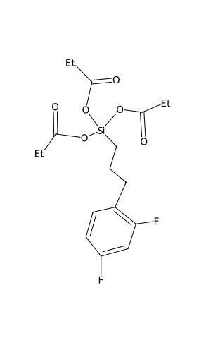 CCC(=O)O[Si](CCCc1ccc(F)cc1F)(OC(=O)CC)OC(=O)CC